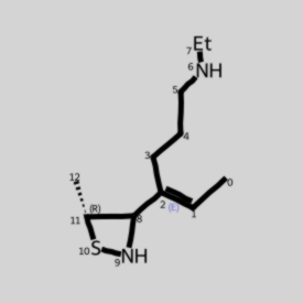 C/C=C(\CCCNCC)C1NS[C@@H]1C